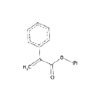 C=C(C(=O)OC(C)C)c1ccccc1